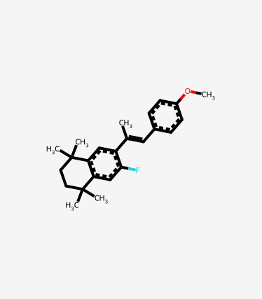 COc1ccc(/C=C(\C)c2cc3c(cc2F)C(C)(C)CCC3(C)C)cc1